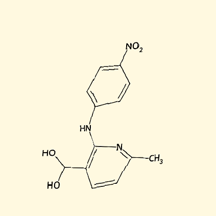 Cc1ccc(C(O)O)c(Nc2ccc([N+](=O)[O-])cc2)n1